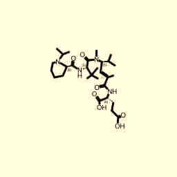 C/C(=C\[C@H](C(C)C)N(C)C(=O)[C@@H](NC(=O)[C@H]1CCCCN1C(C)C)C(C)(C)C)C(=O)N[C@H](CCC(=O)O)C(=O)O